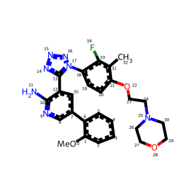 COc1ccccc1-c1cnc(N)c(-c2nnnn2-c2ccc(OCCN3CCOCC3)c(C)c2F)c1